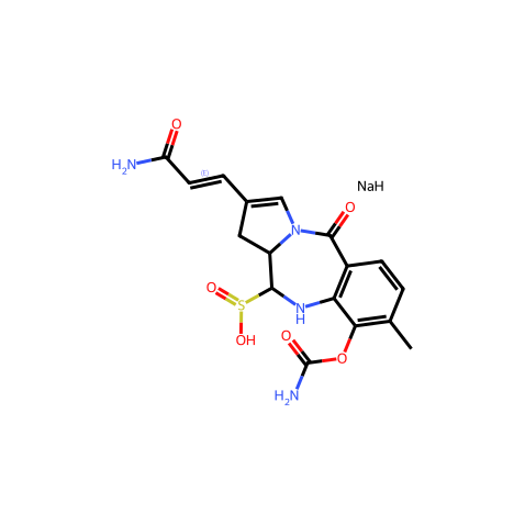 Cc1ccc2c(c1OC(N)=O)NC(S(=O)O)C1CC(/C=C/C(N)=O)=CN1C2=O.[NaH]